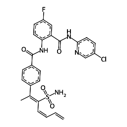 C=C/C=C\C(=C(/C)c1ccc(C(=O)Nc2ccc(F)cc2C(=O)Nc2ccc(Cl)cn2)cc1)S(N)(=O)=O